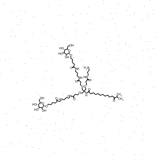 CC(C)C(=O)CCCCCCCCCCC(=O)NC(COCCC(=O)NCCCN)(COCCC(=O)NCCCNCC(=O)CCCCO[C@@H]1OC(CO)[C@@H](O)C(O)C1O)COCCC(=O)NCCCNC(=O)CCCCO[C@@H]1OC(CO)[C@@H](O)C(O)C1O